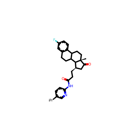 CC(C)c1ccc(NC(=O)CC[C@@H]2CC(=O)[C@@]3(C)CCC4c5ccc(F)cc5CCC4C23)nc1